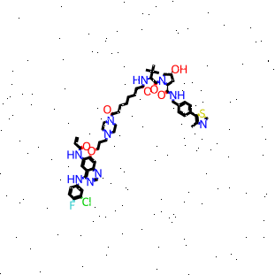 C=CC(=O)Nc1cc2c(Nc3ccc(F)c(Cl)c3)ncnc2cc1OCCCN1CCN(C(=O)CCCCCCC(=O)N[C@H](C(=O)N2C[C@H](O)C[C@H]2C(=O)NCc2ccc(-c3scnc3C)cc2)C(C)(C)C)CC1